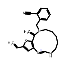 C=Cc1cc2c(s1)C(=C)N(Cc1ccccc1C#N)CCCCCN/C=N/2